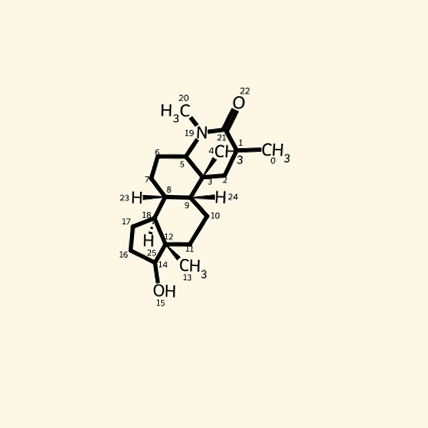 CC1C[C@@]2(C)C(CC[C@@H]3[C@H]2CC[C@]2(C)C(O)CC[C@@H]32)N(C)C1=O